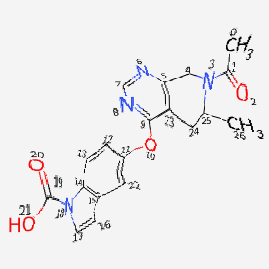 CC(=O)N1Cc2ncnc(Oc3ccc4c(ccn4C(=O)O)c3)c2CC1C